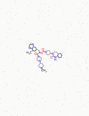 Cc1cc(C[C@@H](OC(=O)N2CCC(N3CCc4ccccc4NC3=O)CC2)C(=O)N2CCN(C3CCN(C)CC3)CC2)cc2nccnc12